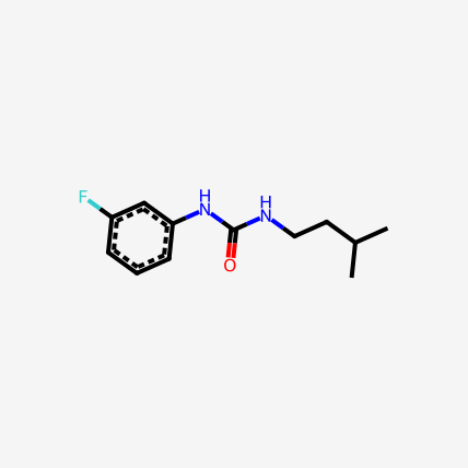 CC(C)CCNC(=O)Nc1cccc(F)c1